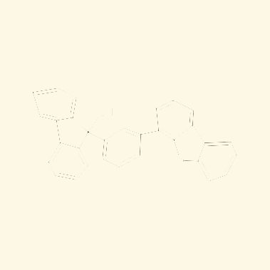 CC1(c2cccc(-c3cccc4c3oc3ccccc34)c2)c2ccccc2-c2ccccc21